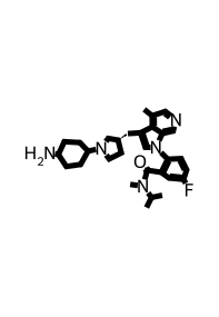 Cc1cncc2c1c(C[C@@H]1CCN(C3CCC(N)CC3)C1)cn2-c1ccc(F)cc1C(=O)N(C)C(C)C